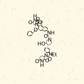 CCn1c(=O)n(C2CCC(=O)NC2=O)c2ccc([C@H]3CCN(CC(=O)Nc4ccc5c(F)c(N6CC(=O)NS6(=O)=O)c(OCc6ccccc6)cc5c4)C[C@@H]3O)cc21